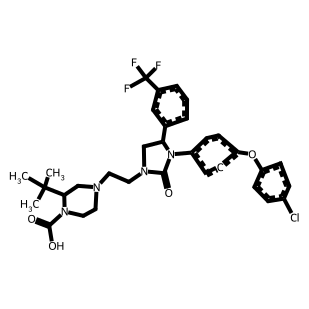 CC(C)(C)C1CN(CCN2CC(c3cccc(C(F)(F)F)c3)N(c3ccc(Oc4ccc(Cl)cc4)cc3)C2=O)CCN1C(=O)O